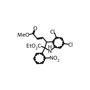 CCOC(=O)C1(c2ccccc2[N+](=O)[O-])Nc2cc(Cl)cc(Cl)c2C1C=CC(=O)OC